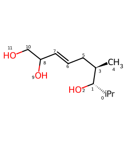 CC(C)[C@H](O)[C@H](C)C/C=C/C(O)CO